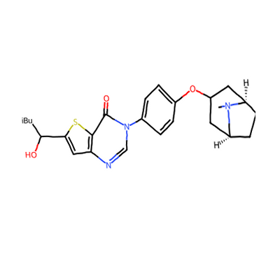 CCC(C)C(O)c1cc2ncn(-c3ccc(OC4C[C@H]5CC[C@@H](C4)N5C)cc3)c(=O)c2s1